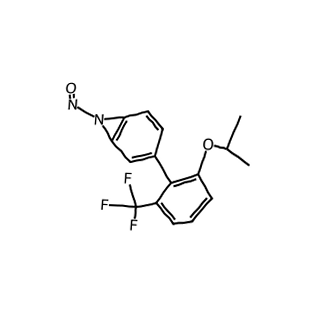 CC(C)Oc1cccc(C(F)(F)F)c1-c1ccc2c(c1)N2N=O